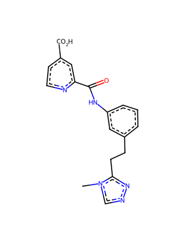 Cn1cnnc1CCc1cccc(NC(=O)c2cc(C(=O)O)ccn2)c1